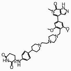 COc1cc(-c2cn(C)c(=O)c3[nH]ncc23)cc(OC)c1CN1CCN(CCN2CCC(c3ccc(N[C@@H]4CCC(=O)NC4=O)cc3)CC2)CC1